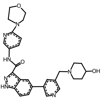 O=C(Nc1ccc(N2CCOCC2)nc1)c1n[nH]c2ccc(-c3cncc(CN4CCC(O)CC4)c3)cc12